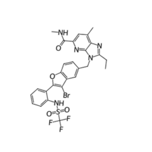 CCc1nc2c(C)cc(C(=O)NC)nc2n1Cc1ccc2oc(-c3ccccc3NS(=O)(=O)C(F)(F)F)c(Br)c2c1